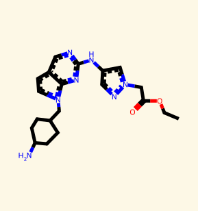 CCOC(=O)Cn1cc(Nc2ncc3ccn(CC4CCC(N)CC4)c3n2)cn1